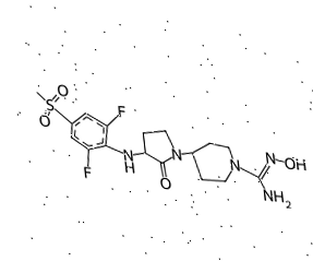 CS(=O)(=O)c1cc(F)c(NC2CCN(C3CCN(C(N)=NO)CC3)C2=O)c(F)c1